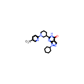 O=c1[nH]c(C2CCCN(c3ccc([N+](=O)[O-])cn3)C2)nc2c1cnn2C1CCCCC1